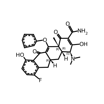 CN(C)[C@@H]1C(O)=C(C(N)=O)C(=O)[C@@]2(C)C(Oc3ccccc3)=C3C(=O)c4c(O)ccc(F)c4C[C@H]3C[C@@H]12